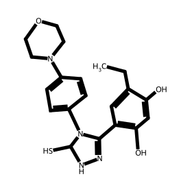 CCc1cc(C2=NNC(S)N2c2ccc(N3CCOCC3)cc2)c(O)cc1O